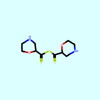 S=C(SC(=S)C1CNCCO1)C1CNCCO1